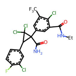 CCNC(=O)c1cc(C2(C(N)=O)C(c3ccc(F)c(Cl)c3)C2(Cl)Cl)cc(C(F)(F)F)c1Cl